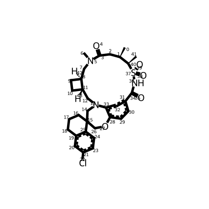 C[C@@H]1CC(=O)N(C)C[C@@H]2CC[C@H]2CN2CC3(CCCc4cc(Cl)ccc43)COc3ccc(cc32)C(=O)NS(=O)(=O)[C@@H]1C